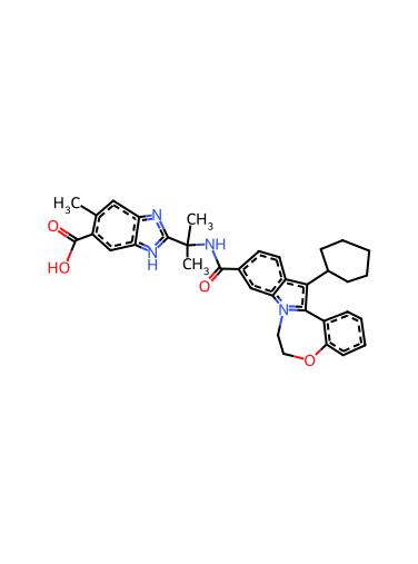 Cc1cc2nc(C(C)(C)NC(=O)c3ccc4c(C5CCCCC5)c5n(c4c3)CCOc3ccccc3-5)[nH]c2cc1C(=O)O